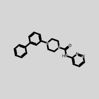 O=C(Nc1cccnn1)N1CCN(c2cccc(-c3ccccc3)c2)CC1